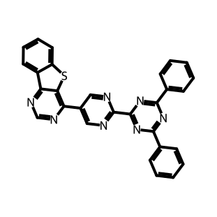 c1ccc(-c2nc(-c3ccccc3)nc(-c3ncc(-c4ncnc5c4sc4ccccc45)cn3)n2)cc1